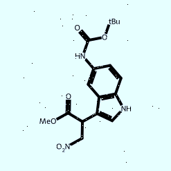 COC(=O)C(C[N+](=O)[O-])c1c[nH]c2ccc(NC(=O)OC(C)(C)C)cc12